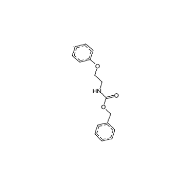 O=C(NCCOc1cc[c]cc1)OCc1ccccc1